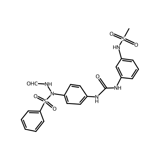 CS(=O)(=O)Nc1cccc(NC(=O)Nc2ccc(N(NC=O)S(=O)(=O)c3ccccc3)cc2)c1